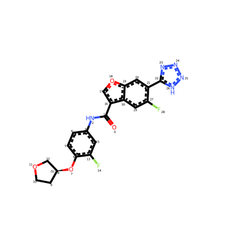 O=C(Nc1ccc(O[C@H]2CCOC2)c(F)c1)c1coc2cc(-c3nnn[nH]3)c(F)cc12